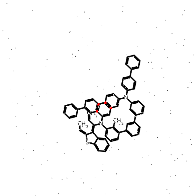 C=C/C(=c1\c(=C/C)sc2ccccc12)N(c1ccccc1)c1cccc(-c2cccc(-c3cccc(N(c4ccc(-c5ccccc5)cc4)c4ccc(-c5ccc(-c6ccccc6)cc5)cc4)c3)c2)c1C